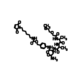 COCCOCC(=O)NC(C)C(=O)NC(C)C(=O)NC(CC(N)=O)C(=O)Nc1ccc(COC(=O)NCCCCCCN2C(=O)C=CC2=O)cc1